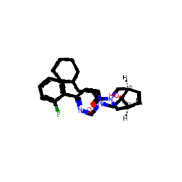 O=C(CCC1CCCCC1)N1C[C@H]2CC[C@@H](C1)C2(O)CN1C=CC(c2ccccc2F)=NC1